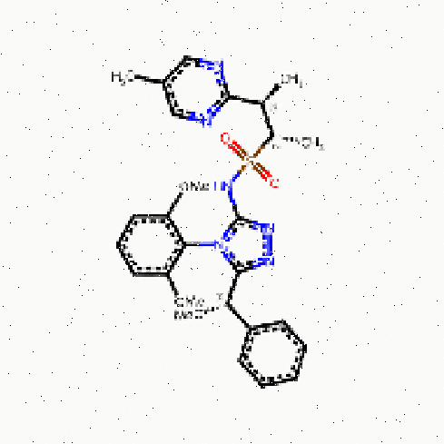 COc1cccc(OC)c1-n1c(NS(=O)(=O)[C@@H](C)[C@H](C)c2ncc(C)cn2)nnc1[C@@H](OC)c1ccccc1